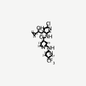 O=C(Nc1cnc(Cl)cc1CC(O)C1CC1)c1ccnc(Nc2ccc(C(F)(F)F)cn2)c1